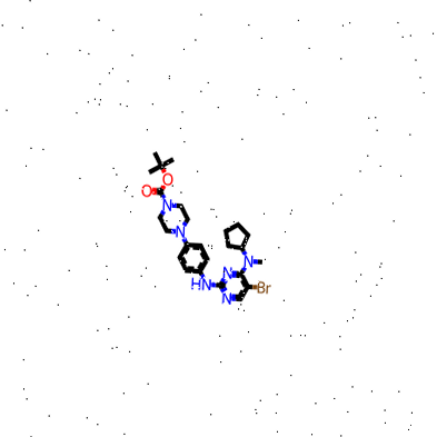 CN(c1nc(Nc2ccc(N3CCN(C(=O)OC(C)(C)C)CC3)cc2)ncc1Br)C1CCCC1